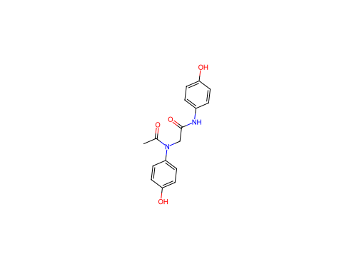 CC(=O)N(CC(=O)Nc1ccc(O)cc1)c1ccc(O)cc1